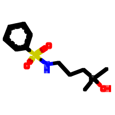 C[Si](C)(O)CCCNS(=O)(=O)c1ccccc1